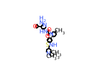 C[C@H]1CC[C@H](c2ccc3c(c2)NC(C2CCN(C)C(C)(C)C2)S3)N(C(=O)C(=O)Nc2cnc(N)c(C3COC3)c2)C1